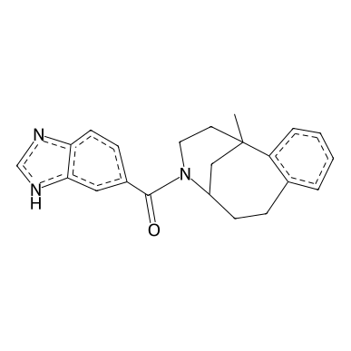 CC12CCN(C(=O)c3ccc4nc[nH]c4c3)C(CCc3ccccc31)C2